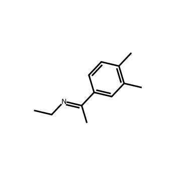 CC/N=C(\C)c1ccc(C)c(C)c1